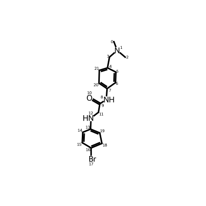 CN(C)Cc1ccc(NC(=O)CNc2ccc(Br)cc2)cc1